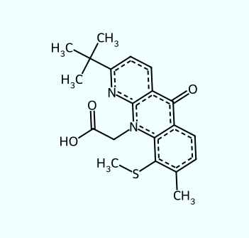 CSc1c(C)ccc2c(=O)c3ccc(C(C)(C)C)nc3n(CC(=O)O)c12